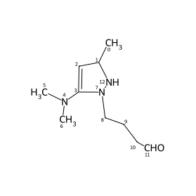 CC1C=C(N(C)C)N(CCCC=O)N1